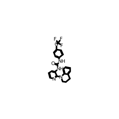 O=C(Nc1ccc(OC(F)(F)F)cc1)Nc1cccnc1N1CCCc2ccccc21